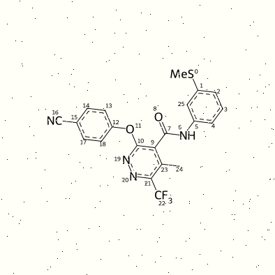 CSc1cccc(NC(=O)c2c(Oc3ccc(C#N)cc3)nnc(C(F)(F)F)c2C)c1